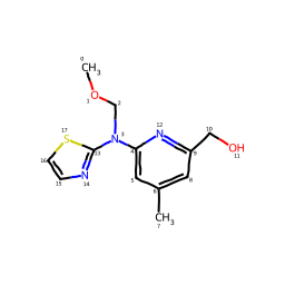 COCN(c1cc(C)cc(CO)n1)c1nccs1